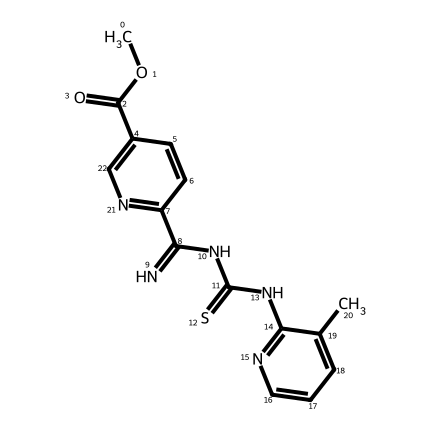 COC(=O)c1ccc(C(=N)NC(=S)Nc2ncccc2C)nc1